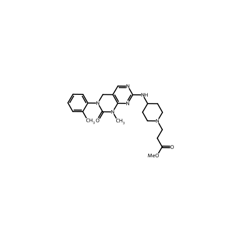 COC(=O)CCN1CCC(Nc2ncc3c(n2)N(C)C(=O)N(c2ccccc2C)C3)CC1